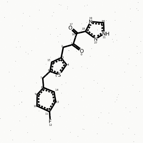 O=C(Cc1csc(Cc2ccc(F)cc2)c1)C(=O)c1nc[nH]n1